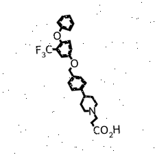 O=C(O)CCN1CCC(c2ccc(COc3ccc(Oc4ccccc4)c(C(F)(F)F)c3)cc2)CC1